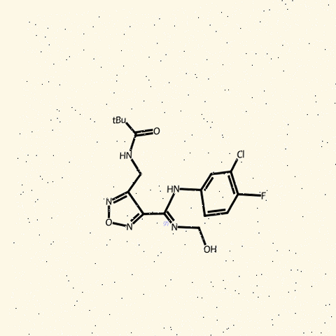 CC(C)(C)C(=O)NCc1nonc1/C(=N/CO)Nc1ccc(F)c(Cl)c1